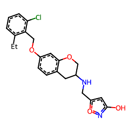 CCc1cccc(Cl)c1COc1ccc2c(c1)OCC(NCc1cc(O)no1)C2